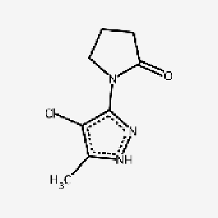 Cc1[nH]nc(N2CCCC2=O)c1Cl